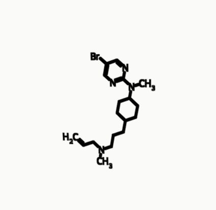 C=CCN(C)CCCC1CCC(N(C)c2ncc(Br)cn2)CC1